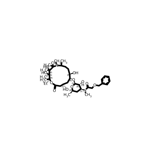 CC[C@@]1(C)OC(=O)C[C@@H](O)C[C@@H](O[C@@H]2O[C@H](C)C[C@H](N(C)C(=O)COCc3ccccc3)[C@H]2O)[C@H](O)CCC(C)N(C)C(C)(C)[C@@](C)(O)[C@]1(C)O